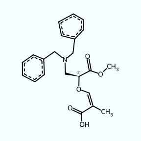 COC(=O)[C@H](CN(Cc1ccccc1)Cc1ccccc1)OC=C(C)C(=O)O